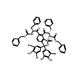 O=C(N[C@@H](Cc1ccccc1)C(=O)c1ccc2c(c1C(=O)[C@H](Cc1ccccc1)NC(=O)OCc1ccccc1)S(=O)(=O)OC2(c1cc(Br)c(O)c(Br)c1)c1cc(Br)c(O)c(Br)c1)OCc1ccccc1